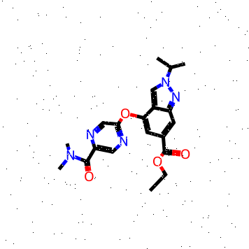 CCOC(=O)c1cc(Oc2cnc(C(=O)N(C)C)cn2)c2cn(C(C)C)nc2c1